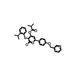 CC(C)C(=O)Oc1cc(-c2ccc(OCc3cccnc3)cc2)oc(=O)c1Sc1ccccc1C(C)C